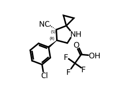 N#C[C@H]1[C@H](c2cccc(Cl)c2)CNC12CC2.O=C(O)C(F)(F)F